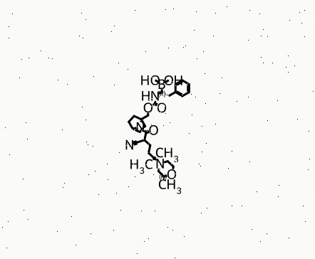 C[C@@H]1CN(C(C)(C)CCC(C#N)C(=O)N2C3CCC2(COC(=O)N[C@@H](Cc2ccccc2)B(O)O)CC3)CCO1